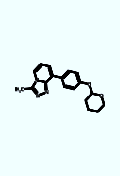 Cc1nnc2c(-c3ccc(OC4CCCCO4)cc3)cccn12